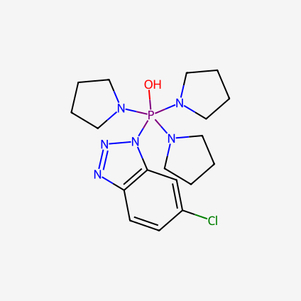 OP(N1CCCC1)(N1CCCC1)(N1CCCC1)n1nnc2ccc(Cl)cc21